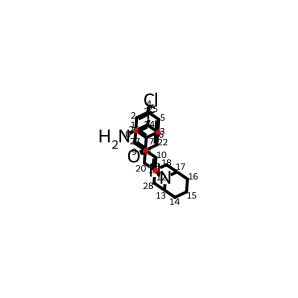 Nc1cc(Cl)ccc1C(=O)C=CN1C2CCCC1CN(Cc1ccc(F)cc1)C2